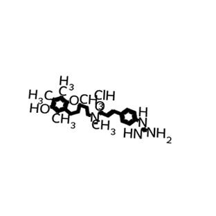 Cc1c(C)c2c(c(C)c1O)CCC(C)(CCN(C)C(=O)C=Cc1ccc(NC(=N)N)cc1)O2.Cl